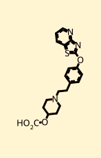 O=C(O)OC1CCN(CCc2ccc(Oc3nc4ncccc4s3)cc2)CC1